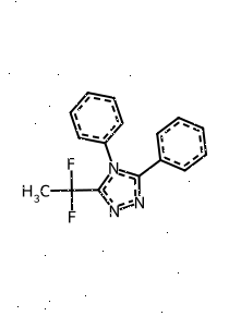 CC(F)(F)c1nnc(-c2ccccc2)n1-c1ccccc1